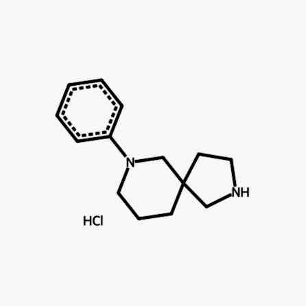 Cl.c1ccc(N2CCCC3(CCNC3)C2)cc1